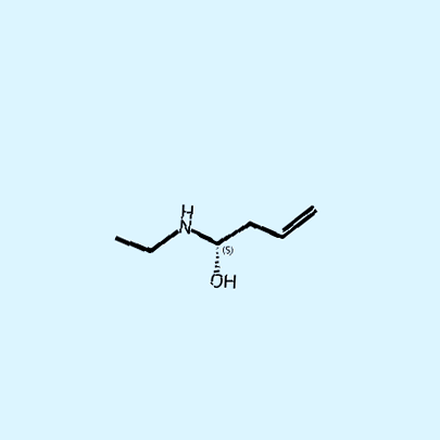 C=CC[C@H](O)NCC